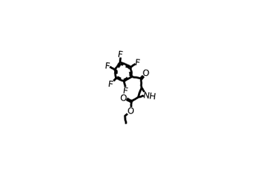 CCOC(=O)C1NC1C(=O)c1c(F)c(F)c(F)c(F)c1F